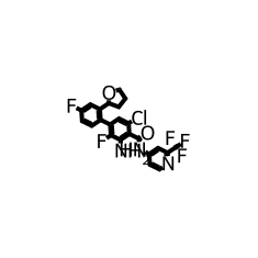 Nc1c(F)c(-c2ccc(F)cc2C2CCCO2)cc(Cl)c1C(=O)Nc1ccnc(C(F)(F)F)c1